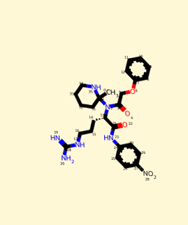 CC1(N(C(=O)COc2ccccc2)[C@@H](CCCNC(=N)N)C(=O)Nc2ccc([N+](=O)[O-])cc2)CCCCN1